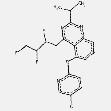 CC(C)c1nc(CC(F)C(F)CF)c2c(Oc3ncc(Cl)cn3)cccc2n1